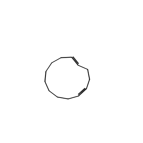 [CH]1CCC/C=C\CC/C=C/CCC1